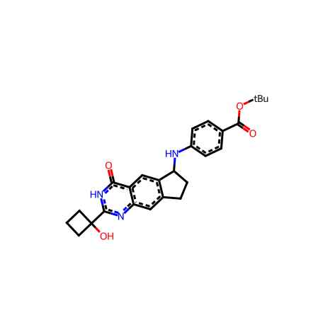 CC(C)(C)OC(=O)c1ccc(NC2CCc3cc4nc(C5(O)CCC5)[nH]c(=O)c4cc32)cc1